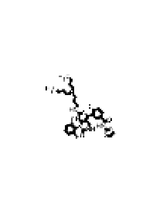 CCCCN(CCCC)CCCNc1nc(-c2cc(C(=O)Nc3nccs3)ccc2C)c2c(n1)N(c1c(F)cccc1F)C(=O)NC2